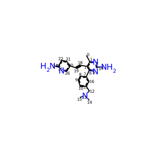 Cc1nc(N)nc(-c2cccc(CN(C)C)c2)c1C#Cc1ccc(N)nc1